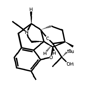 Cc1ccc2c3c1O[C@H]1[C@@]4(C)CC[C@@]5(C[C@@H]4[C@](C)(O)C(C)(C)C)[C@@H](C2)N(C)CC[C@]315